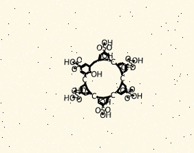 O=S(=O)(O)C1=CC2CC3=CC(S(=O)(=O)O)=CC(CC4=CC(S(=O)(=O)O)=CC(CC5CC(S(=O)(=O)O)=CC(CC6=CC(S(=O)(=O)O)=CC(CC7=CC(S(=O)(=O)O)=CC(CC(=C1)C2O)C7O)C6O)C5O)C4O)C3O